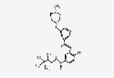 Cc1ccc(C(=O)NCC(O)C(C)(C)C)cc1/C=C(\F)c1cncc(CN2CCN(C)CC2)c1